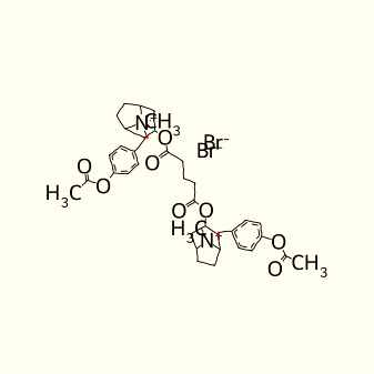 CC(=O)Oc1ccc(C[N+]2(C)C3CCC2CC(OC(=O)CCCC(=O)OC2CC4CCC(C2)[N+]4(C)Cc2ccc(OC(C)=O)cc2)C3)cc1.[Br-].[Br-]